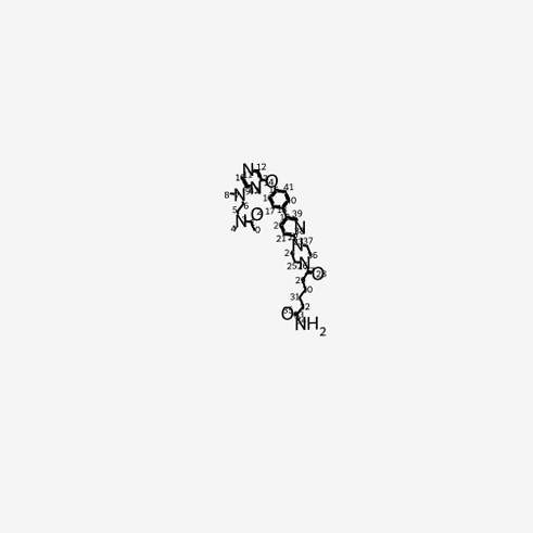 CC(=O)N(C)CCN(C)c1cncc(Oc2ccc(-c3ccc(N4CCN(C(=O)CCCCC(N)=O)CC4)nc3)cc2)n1